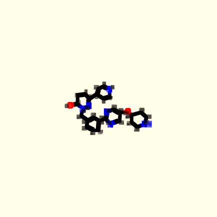 O=c1ccc(-c2ccncc2)nn1Cc1cccc(-c2ncc(OC3CCNCC3)cn2)c1